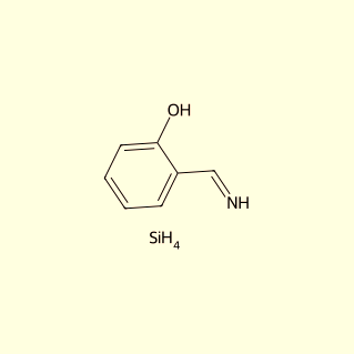 N=Cc1ccccc1O.[SiH4]